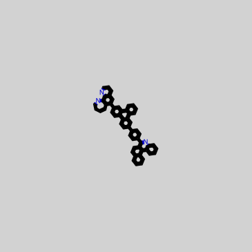 C1=Cc2c(-c3ccc4c5ccc(-c6ccc(-c7nc8ccccc8c8c7ccc7ccccc78)cc6)cc5c5ccccc5c4c3)cc3cccnc3c2N=CC1